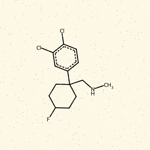 CNCC1(c2ccc(Cl)c(Cl)c2)CCC(F)CC1